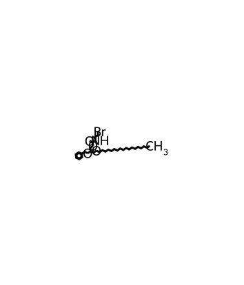 CCCCCCCCCCCCCCCCCCOCC(COC(=O)NCCBr)OCc1ccccc1